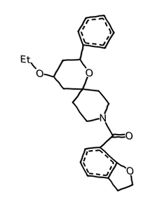 CCOC1CC(c2ccccc2)OC2(CCN(C(=O)c3cccc4c3OCC4)CC2)C1